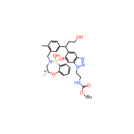 Cc1ccc(C(CCO)c2ccc3c(c2)nnn3CCNC(=O)OC(C)(C)C)cc1CN1C[C@@H](C)Oc2ccccc2S1(O)O